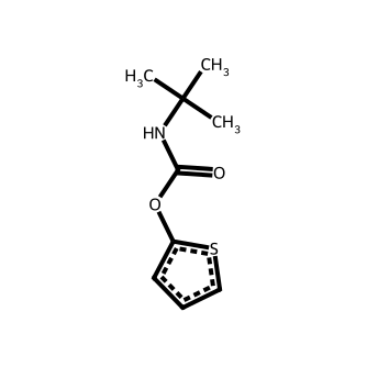 CC(C)(C)NC(=O)Oc1cccs1